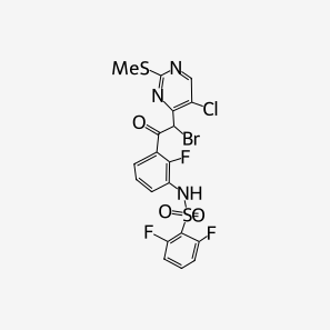 CSc1ncc(Cl)c(C(Br)C(=O)c2cccc(NS(=O)(=O)c3c(F)cccc3F)c2F)n1